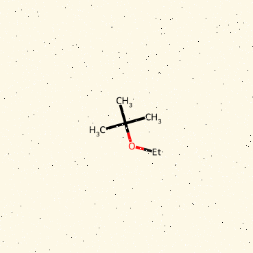 C[CH]OC(C)(C)C